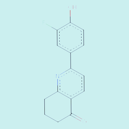 O=C1CCCc2nc(-c3ccc(O)c(F)c3)ccc21